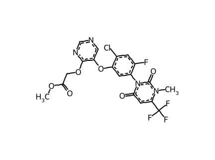 COC(=O)COc1ncncc1Oc1cc(-n2c(=O)cc(C(F)(F)F)n(C)c2=O)c(F)cc1Cl